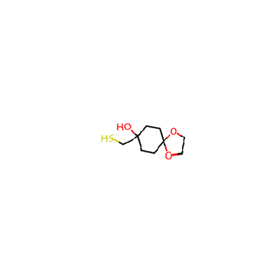 OC1(CS)CCC2(CC1)OCCO2